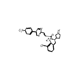 O=C(CCc1ncc(-c2ccc([N+](=O)[O-])cc2)cn1)NC(Cc1cccc(Cl)c1Cl)C1CCNC1